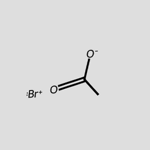 CC(=O)[O-].[Br+]